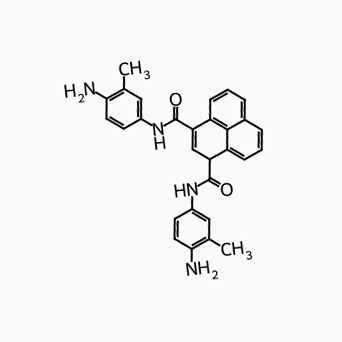 Cc1cc(NC(=O)C2=CC(C(=O)Nc3ccc(N)c(C)c3)c3cccc4cccc2c34)ccc1N